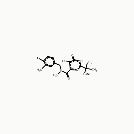 COC(C)(C)c1nc(C(=O)N(C)Cc2ccc(F)c(C)c2)c(O)c(=O)[nH]1